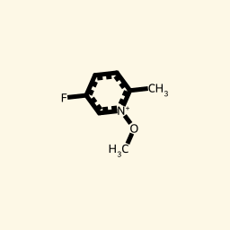 CO[n+]1cc(F)ccc1C